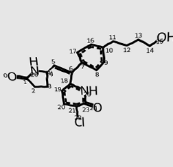 O=C1CC[C@H](C=C(c2ccc(CCCCO)cc2)c2ccc(Cl)c(=O)[nH]2)N1